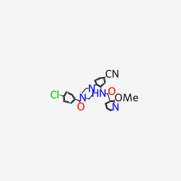 COc1ncccc1C(=O)Nc1cc(C#N)ccc1N1CCN(C(=O)c2ccc(Cl)cc2)CC1